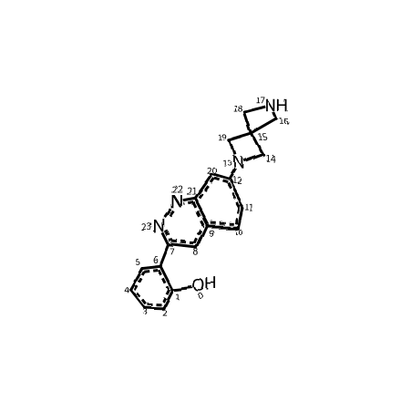 Oc1ccccc1-c1cc2ccc(N3CC4(CNC4)C3)cc2nn1